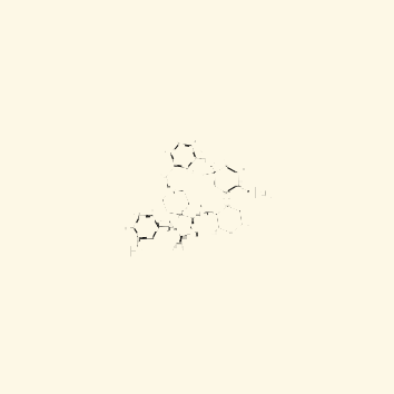 CC1(Oc2cccc(CN3CCC4(CC3)C(NC3CCCCC3)=NC(=O)N4c3cccc(F)c3)c2)C=CC(C(C)(C)C)=CC1